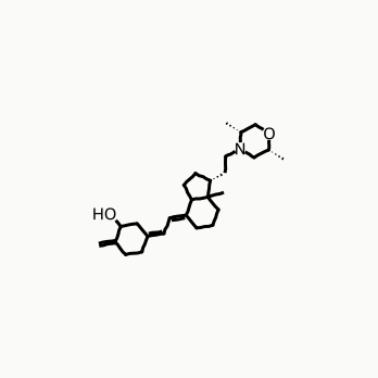 C=C1CC/C(=C/C=C2\CCCC3(C)C2CC[C@@H]3CCN2C[C@@H](C)OC[C@H]2C)CC1O